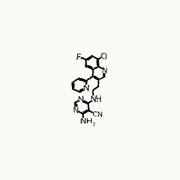 N#Cc1c(N)ncnc1NCCc1cnc2c(Cl)cc(F)cc2c1-c1ccccn1